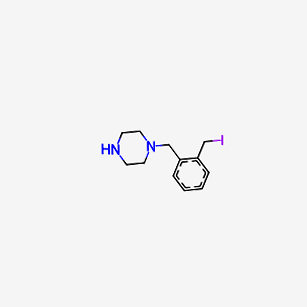 ICc1ccccc1CN1CCNCC1